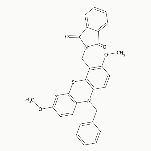 COc1[c]c2c(cc1)N(Cc1ccccc1)c1ccc(OC)c(CN3C(=O)c4ccccc4C3=O)c1S2